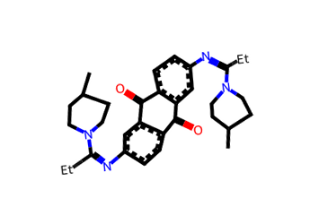 CCC(=Nc1ccc2c(c1)C(=O)c1ccc(N=C(CC)N3CCC(C)CC3)cc1C2=O)N1CCC(C)CC1